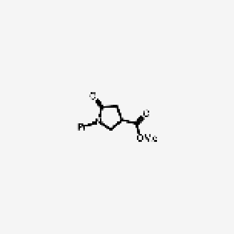 COC(=O)C1CC(=O)N(C(C)C)C1